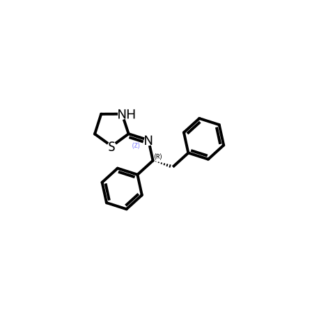 c1ccc(C[C@@H](/N=C2/NCCS2)c2ccccc2)cc1